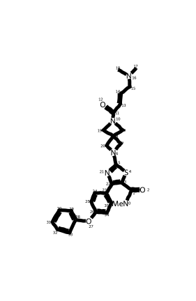 CNC(=O)c1sc(N2CC3(CN(C(=O)/C=C/CN(C)C)C3)C2)nc1-c1ccc(Oc2ccccc2)cc1